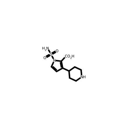 NS(=O)(=O)n1ccc(C2CCNCC2)c1C(=O)O